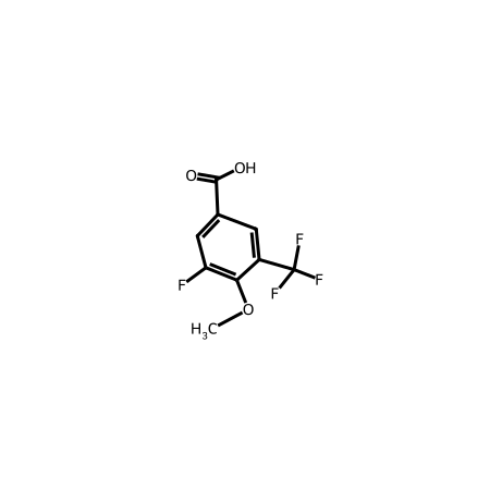 COc1c(F)cc(C(=O)O)cc1C(F)(F)F